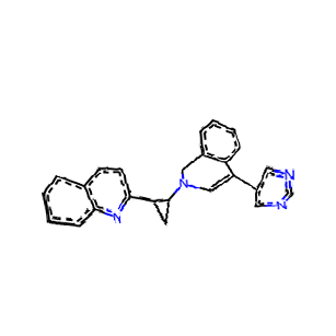 C1=C(c2cncnc2)c2ccccc2CN1C1CC1c1ccc2ccccc2n1